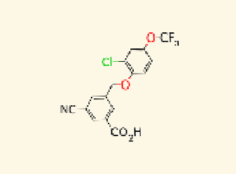 N#Cc1cc(COc2ccc(OC(F)(F)F)cc2Cl)cc(C(=O)O)c1